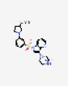 COC1CCN(c2cccc(S(=O)(=O)n3cc(N4CCN[C@@H](C)C4)c4ncccc43)c2)C1